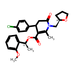 COc1ccccc1[C@H](C)OC(=O)C1=C(C)N(C[C@H]2CCCO2)C(=O)CC1c1ccc(Cl)cc1